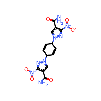 NC(=O)c1cn(C2C=CC(n3cc(C(N)=O)c([N+](=O)[O-])n3)C=C2)nc1[N+](=O)[O-]